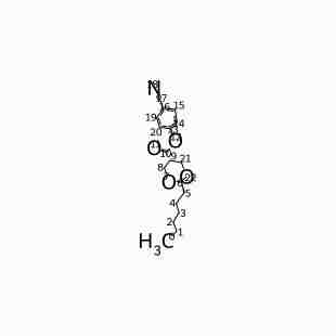 CCCCCC[C@H]1OC[C@H](C(=O)Oc2ccc(C#N)cc2)CO1